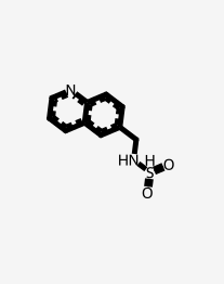 O=[SH](=O)NCc1ccc2ncccc2c1